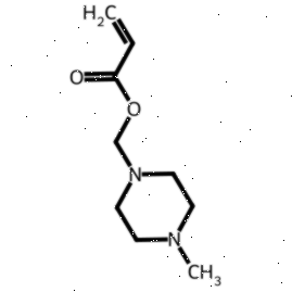 C=CC(=O)OCN1CCN(C)CC1